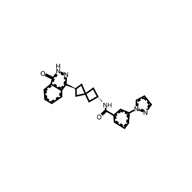 O=C(N[C@H]1CC2(C1)C[C@H](c1n[nH]c(=O)c3ccccc31)C2)c1cccc(-n2cccn2)c1